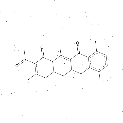 CC(=O)C1=C(C)CC2CC3Cc4c(C)ccc(C)c4C(=O)C3=C(C)C2C1=O